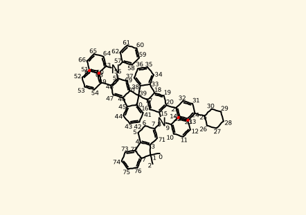 CC1(C)C2=C(CCC(N(c3ccccc3)c3cc4c(cc3C3=C=C=C(C5CCCCC5)C=C3)-c3ccccc3C43c4ccccc4-c4cc(-c5ccccc5)c(N(c5ccccc5)c5ccccc5)cc43)=C2)c2ccccc21